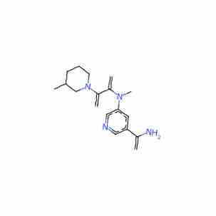 C=C(N)c1cncc(N(C)C(=C)C(=C)N2CCCC(C)C2)c1